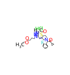 CCOC(=O)CCCn1nncc1/C=C1/CN(C(C(=O)C2CC2)c2ccccc2F)CCC1SC(C)=O.Cl